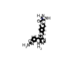 N=C/C(=C\N)C(=O)N1CCc2cc(Cn3nc(-c4ccc5oc(N)nc5c4)c4c(N)ncnc43)ccc2C1